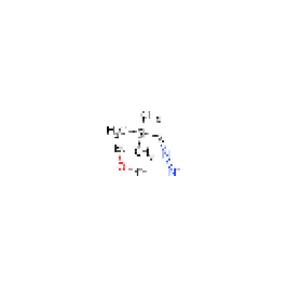 CCOCC.C[Si](C)(C)C=[N+]=[N-]